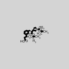 CC(C)(C)OC(=O)[C@@H](Cc1cccc(CCC(=O)O)c1)[C@H]1CCN(C(=O)OC(C)(C)C)C1